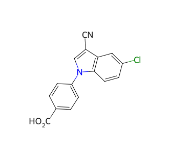 N#Cc1cn(-c2ccc(C(=O)O)cc2)c2ccc(Cl)cc12